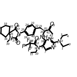 CCN(CC)c1ncc(N(CC)C(=O)C(F)(F)F)c(N[C@@H](Cc2ccc(N3C(=O)N(C)C4(CCCCC4)C3=O)cc2)C(C)=O)n1